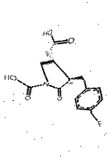 O=C(O)[C@H]1CN(C(=O)O)C(=O)[C@@H]1Cc1ccc(F)cc1